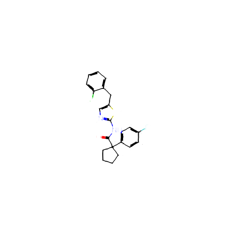 O=C(Nc1ncc(Cc2ccccc2Cl)s1)C1(c2ccc(F)cc2)CCCC1